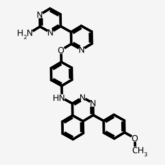 COc1ccc(-c2nnc(Nc3ccc(Oc4ncccc4-c4ccnc(N)n4)cc3)c3ccccc23)cc1